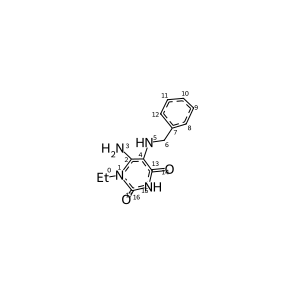 CCn1c(N)c(NCc2ccccc2)c(=O)[nH]c1=O